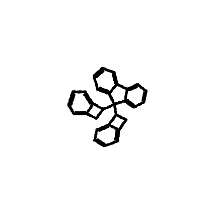 c1ccc2c(c1)CC2C1(C2Cc3ccccc32)c2ccccc2-c2ccccc21